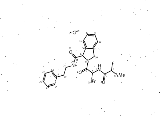 CNC(C)C(=O)NC(C(=O)N1Cc2ccccc2C1C(=O)NCCc1ccccc1)C(C)C.Cl